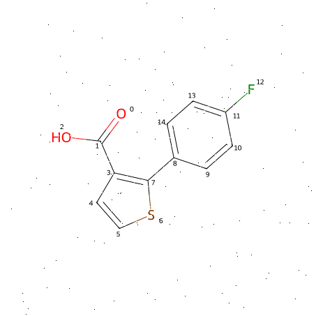 O=C(O)c1ccsc1-c1ccc(F)cc1